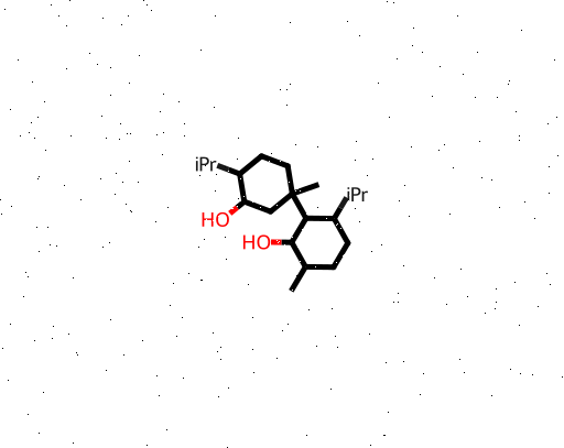 CC(C)C1CCC(C)(C2C(O)C(C)CCC2C(C)C)CC1O